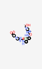 COC(=O)C1(C)CCC(N2CCc3c(nc(C(=O)Nc4cccc(-c5cccc(NC(=O)c6nc7c(n6C)CCN(C[C@H](C)O)C7)c5C)c4Cl)n3C)C2)CC1